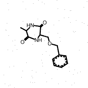 CC1NC(=O)C(COCc2ccccc2)NC1=O